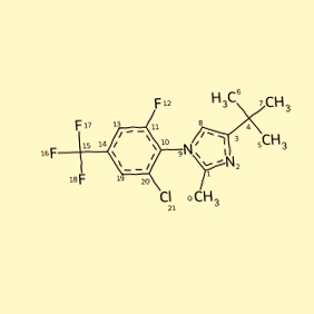 Cc1nc(C(C)(C)C)cn1-c1c(F)cc(C(F)(F)F)cc1Cl